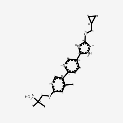 Cc1cc(OCC(C)(C)C(=O)O)ncc1-c1ccc(-c2nc(OCC3CC3)n[nH]2)cn1